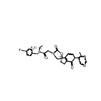 Cc1ncncc1C1C=CC2=C(CC[C@]23CN(CC(=O)N(Cc2ccc(F)cc2)[C@@H](C)C(F)(F)F)C(=O)O3)C1=O